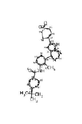 Cc1c(NC(=O)c2ccc(C(C)(C)C)cc2)cccc1-c1ncnc2[nH]c(C3=CCS(=O)(=O)CC3)cc12